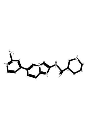 Cc1cc(-c2ccc3nc(NC(=O)C4CCCOC4)cn3c2)ccn1